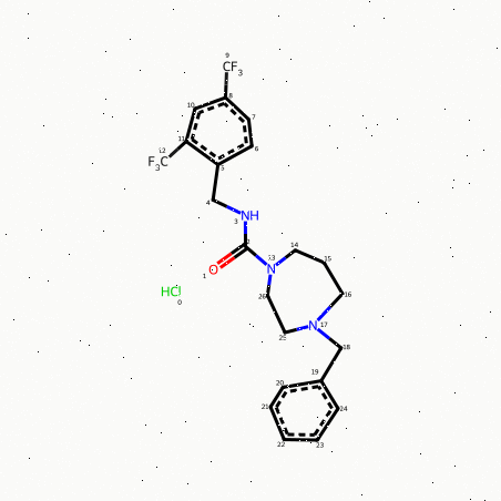 Cl.O=C(NCc1ccc(C(F)(F)F)cc1C(F)(F)F)N1CCCN(Cc2ccccc2)CC1